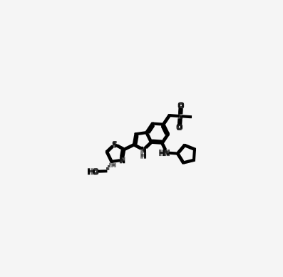 CS(=O)(=O)Cc1cc(NC2CCCC2)c2[nH]c(C3=N[C@H](CO)CS3)cc2c1